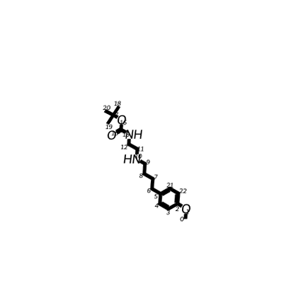 COc1ccc(CCCCNCCNC(=O)OC(C)(C)C)cc1